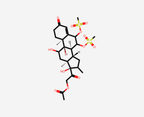 CC(=O)OCC(=O)[C@@]1(O)C(C)C[C@H]2[C@@H]3C(OS(C)(=O)=O)C(OS(C)(=O)=O)C4=CC(=O)CC[C@]4(C)[C@@]3(Br)C(O)C[C@@]21C